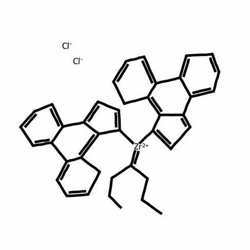 CCC[C](CCC)=[Zr+2]([C]1=CC=c2c1c1c(c3ccccc23)=CC=CC1)[C]1=CC=c2c1c1c(c3ccccc23)=CC=CC1.[Cl-].[Cl-]